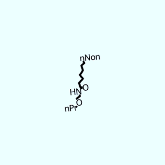 CCCCCCCCCCCCCCCC(=O)NCCOCCC